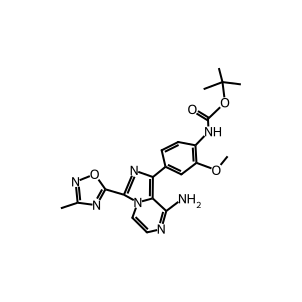 COc1cc(-c2nc(-c3nc(C)no3)n3ccnc(N)c23)ccc1NC(=O)OC(C)(C)C